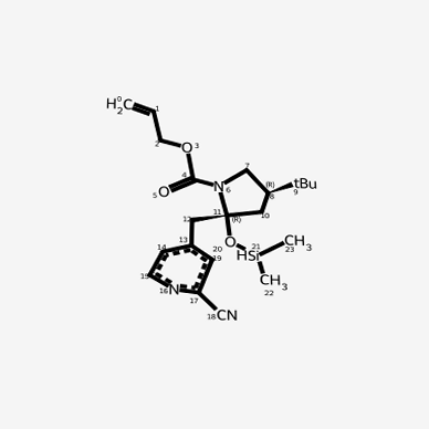 C=CCOC(=O)N1C[C@@H](C(C)(C)C)C[C@]1(Cc1ccnc(C#N)c1)O[SiH](C)C